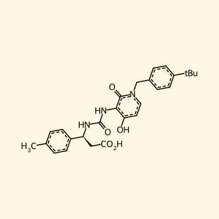 Cc1ccc([C@H](CC(=O)O)NC(=O)Nc2c(O)ccn(Cc3ccc(C(C)(C)C)cc3)c2=O)cc1